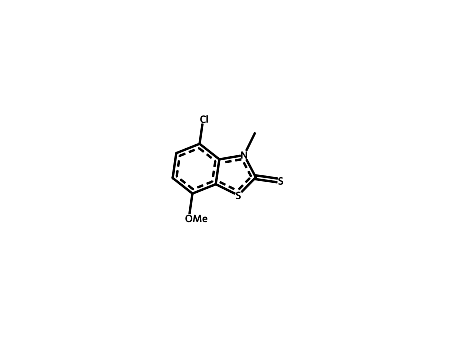 COc1ccc(Cl)c2c1sc(=S)n2C